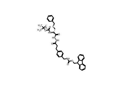 CC(C)(C)OC(=O)N[C@H](CSCc1ccccc1)C(=O)NNC(=O)CCc1ccc(CNC(=O)OCC2c3ccccc3-c3ccccc32)cc1